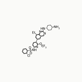 CCc1cc(-c2ccc(NS(=O)(=O)c3ccccc3Cl)nc2OC(F)(F)F)cc2cnc(N[C@H]3CC[C@H](N)CC3)nc12